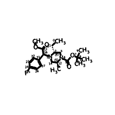 CC[C@@H]1CN(C(=O)OC(C)(C)C)[C@@H](C)CN1C(C(=O)OC)c1ccc(F)cc1